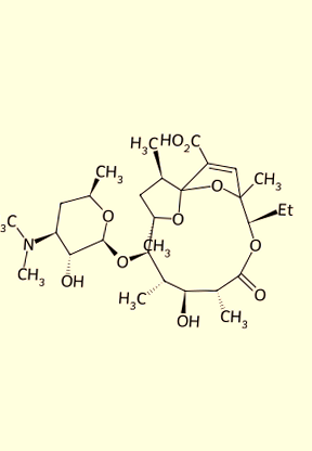 CC[C@H]1OC(=O)[C@H](C)[C@@H](O)[C@H](C)[C@@H](O[C@@H]2O[C@H](C)C[C@H](N(C)C)[C@H]2O)[C@@]2(C)C[C@@H](C)C3(OC1(C)C=C3C(=O)O)O2